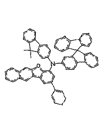 CC1(C)c2ccccc2-c2ccc(N(c3ccc4c(c3)C3(c5ccccc5-c5ccccc53)c3ccccc3-4)c3cc(C4=CCCC=C4)cc4c3oc3cc5ccccc5cc34)cc21